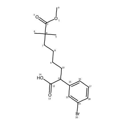 COC(=O)C(C)(C)CCCCC(C(=O)O)c1cccc(Br)c1